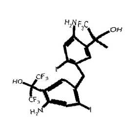 CC(O)(c1cc(Cc2cc(C(O)(C(F)(F)F)C(F)(F)F)c(N)cc2I)c(I)cc1N)C(F)(F)F